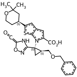 CC1(C)C[C@@H](c2cc3cc(C(=O)O)n([C@@]4(C5=NOC(=C=O)N5)C[C@@H]4COCc4ccccc4)c3s2)CCO1